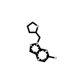 Clc1cnc2cnn(CC3CCCO3)c2n1